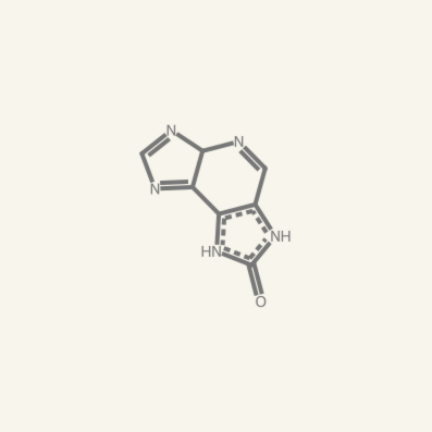 O=c1[nH]c2c([nH]1)C1=NC=NC1N=C2